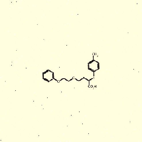 Cc1ccc(SC(CCOCCOc2ccccc2)C(=O)O)cc1